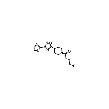 O=C(CCCF)N1CCC(c2nc(-c3nccs3)no2)CC1